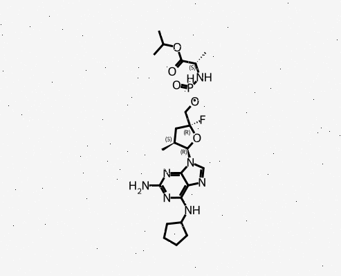 CC(C)OC(=O)[C@H](C)N[PH](=O)OC[C@]1(F)C[C@H](C)[C@H](n2cnc3c(NC4CCCC4)nc(N)nc32)O1